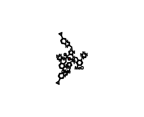 COc1ccc(-n2cnnn2)c(CNS(=O)(=O)c2cn(Cc3cn4cc(C5CC5)ccc4n3)nc2N(Cc2c(-n3cnnn3)ccc(OC)c2F)S(=O)(=O)c2cnn(Cc3cn4cc(C5CC5)ccc4n3)c2)c1F